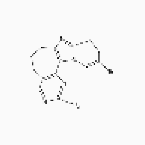 Nc1ncc2c(n1)-c1c(nc3n1C=C(Br)CC3)CCC2